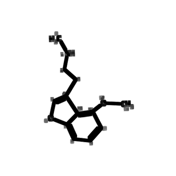 CNCCc1coc2cccc(OC)c12